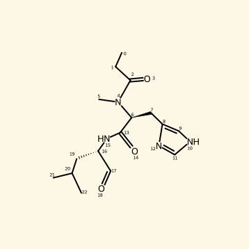 CCC(=O)N(C)[C@@H](Cc1c[nH]cn1)C(=O)N[C@H](C=O)CC(C)C